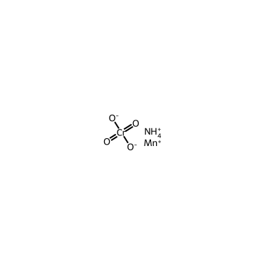 [Mn+].[NH4+].[O]=[Cr](=[O])([O-])[O-]